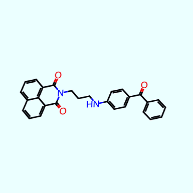 O=C(c1ccccc1)c1ccc(NCCCN2C(=O)c3cccc4cccc(c34)C2=O)cc1